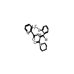 COc1ccccc1C(Br)=C(NC(=O)c1ccccn1)C(=O)N1CCCCC1